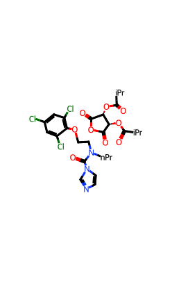 CC(C)C(=O)O[C@H]1C(=O)OC(=O)[C@@H]1OC(=O)C(C)C.CCCN(CCOc1c(Cl)cc(Cl)cc1Cl)C(=O)n1ccnc1